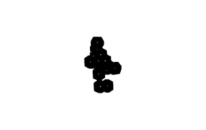 c1ccc(N(c2ccc(-c3cccc4ccccc34)cc2)c2cccc3c2oc2ccccc23)c(-c2cccc3c2sc2ccccc23)c1